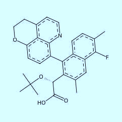 Cc1cc2c(F)c(C)ccc2c(-c2ccc3c4c(ccnc24)CCO3)c1[C@@H](OC(C)(C)C)C(=O)O